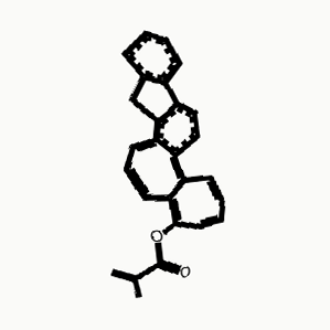 C=C(C)C(=O)OC1=C2C=CC=c3c4c(ccc3=C2C=CC=C1)-c1ccccc1C4